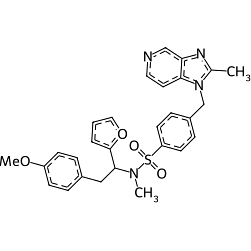 COc1ccc(CC(c2ccco2)N(C)S(=O)(=O)c2ccc(Cn3c(C)nc4cnccc43)cc2)cc1